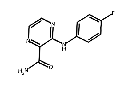 NC(=O)c1nccnc1Nc1ccc(F)cc1